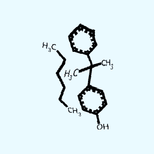 CC(C)(c1ccccc1)c1ccc(O)cc1.CCCCCC